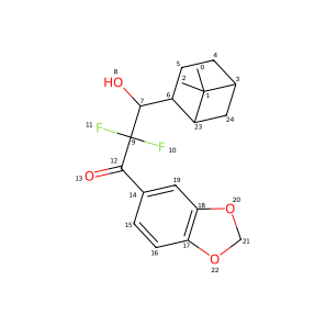 CC1(C)C2CCC(C(O)C(F)(F)C(=O)c3ccc4c(c3)OCO4)C1C2